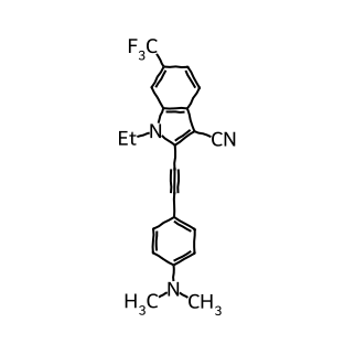 CCn1c(C#Cc2ccc(N(C)C)cc2)c(C#N)c2ccc(C(F)(F)F)cc21